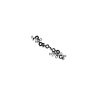 Cn1c(=O)n(C2CCC(=O)NC2=O)c2cccc(C3CCN(/C=C/C4CCC(n5cc6cc(NC(=O)c7cccc(C(F)F)n7)ccc6n5)CC4)CC3(F)F)c21